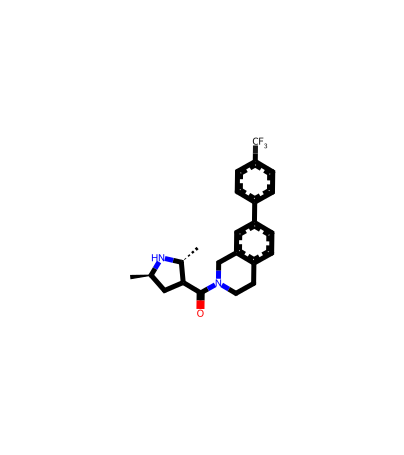 C[C@@H]1CC(C(=O)N2CCc3ccc(-c4ccc(C(F)(F)F)cc4)cc3C2)[C@@H](C)N1